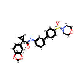 O=C(Nc1cccc(-c2ccc([S+]([O-])N3CCOCC3)cc2)c1)C1(c2ccc3c(c2)OCO3)CC1